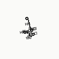 COc1c(OCCCNCCCc2ccccc2)cccc1[C@@H]1O[C@@H](CC(=O)N2CCNCC2)C(=O)N(CC(C)(C)C)c2ccc(Cl)cc21.Cl.Cl